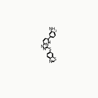 Nc1cccc(-c2ccc3nnc(Sc4ccc5ncsc5c4)n3n2)c1